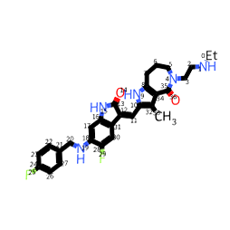 CCNCCN1CCCc2[nH]c(/C=C3\C(=O)Nc4cc(NCc5ccc(F)cc5)c(F)cc43)c(C)c2C1=O